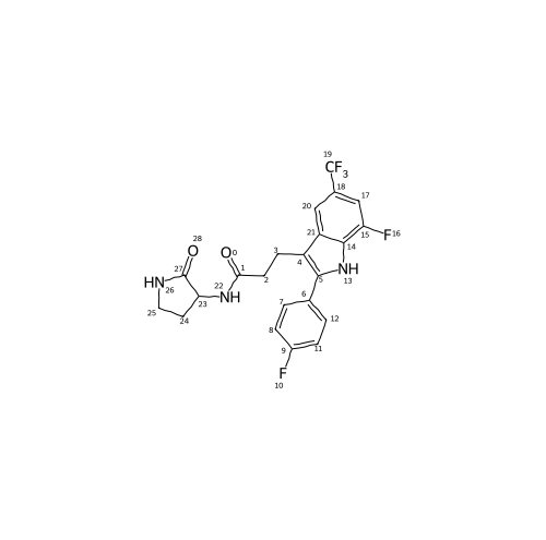 O=C(CCc1c(-c2ccc(F)cc2)[nH]c2c(F)cc(C(F)(F)F)cc12)NC1CCNC1=O